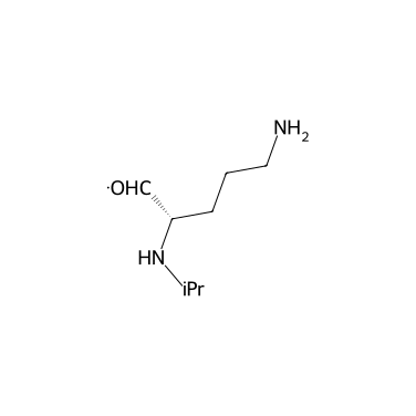 CC(C)N[C@H]([C]=O)CCCN